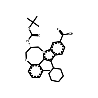 Cc1cccc2c1-c1c(C3CCCCC3)c3ccc(C(=O)O)cc3n1C[C@@H](NC(=O)OC(C)(C)C)CO2